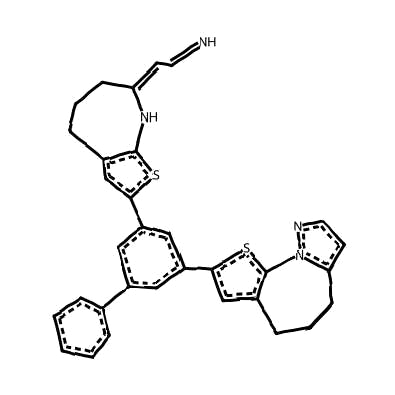 N=C/C=C1/CCCc2cc(-c3cc(-c4ccccc4)cc(-c4cc5c(s4)-n4nccc4CCC5)c3)sc2N1